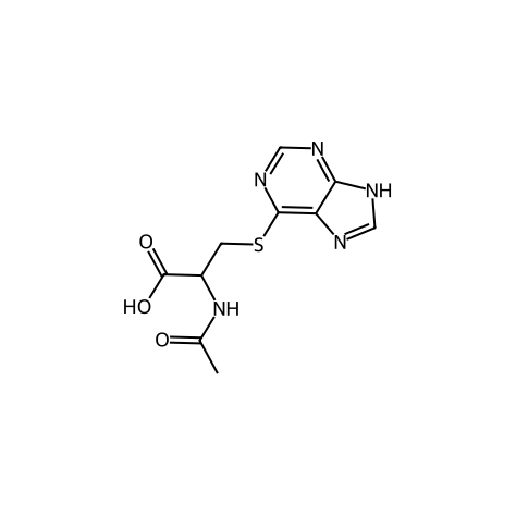 CC(=O)NC(CSc1ncnc2[nH]cnc12)C(=O)O